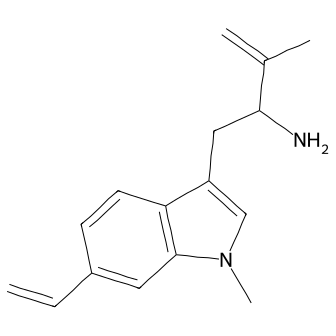 C=Cc1ccc2c(CC(N)C(=C)C)cn(C)c2c1